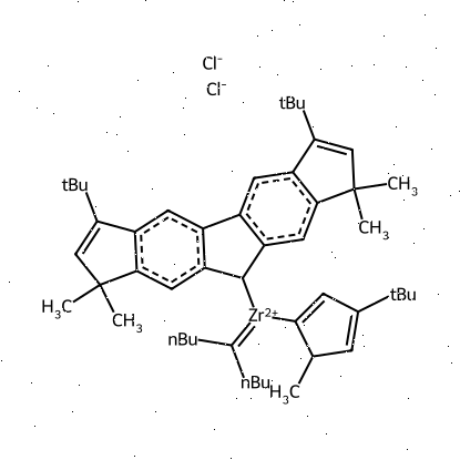 CCCC[C](CCCC)=[Zr+2]([C]1=CC(C(C)(C)C)=CC1C)[CH]1c2cc3c(cc2-c2cc4c(cc21)C(C)(C)C=C4C(C)(C)C)C(C(C)(C)C)=CC3(C)C.[Cl-].[Cl-]